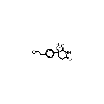 CC1(c2ccc(CC=O)cc2)CCC(=O)NC1=O